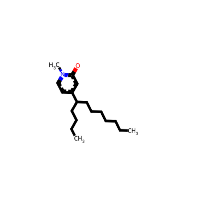 CCCCCCCC(CCCC)c1ccn(C)c(=O)c1